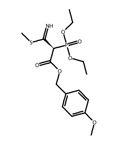 CCOP(=O)(OCC)[C@H](C(=N)SC)C(=O)OCc1ccc(OC)cc1